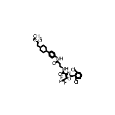 COC(=O)CC1CCC(c2ccc(NC(=O)CCNC(=O)c3nc(-c4c(Cl)cccc4Cl)oc3C(F)(F)F)cc2)CC1